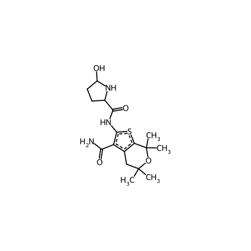 CC1(C)Cc2c(sc(NC(=O)C3CCC(O)N3)c2C(N)=O)C(C)(C)O1